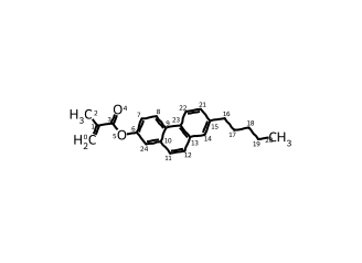 C=C(C)C(=O)Oc1ccc2c(ccc3cc(CCCCC)ccc32)c1